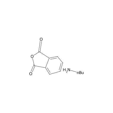 CCCCN.O=C1OC(=O)c2ccccc21